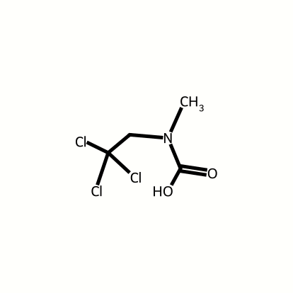 CN(CC(Cl)(Cl)Cl)C(=O)O